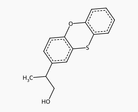 CC(CO)c1ccc2c(c1)Sc1ccccc1O2